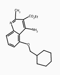 CCOC(=O)c1c(C)nc2cccc(OCC3CCCCC3)c2c1N